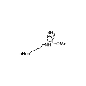 B[C@H]1CC(NCCCCCCCCCCCCCC)[C@@H](COC)O1